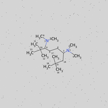 CN(C)C(CCC(N(C)C)C(C)(C)C)CC(C)(C)C